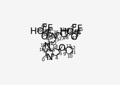 Cc1nc2ccc(Oc3ccccc3)cc2c2c1CCN2C1CCN(Cc2ccccc2)CC1.O=C(O)C(F)(F)F.O=C(O)C(F)(F)F